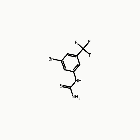 NC(=S)Nc1cc(Br)cc(C(F)(F)F)c1